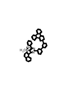 C[Si]1(C)c2ccc3ccccc3c2-c2nc(-c3cccc(-c4cccc(-c5ccc6c7ccccc7c7ccccc7c6c5)c4)c3)nc(-c3ccccc3)c21